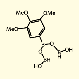 COc1cc(B(OBO)OBO)cc(OC)c1OC